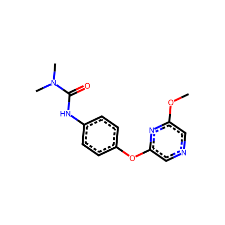 COc1cncc(Oc2ccc(NC(=O)N(C)C)cc2)n1